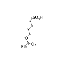 CCC(=O)OCCCCS(=O)(=O)O